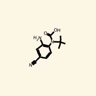 CC(C)(C)N(C(=O)O)c1ccc(C#N)cc1N